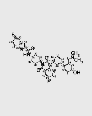 CN(C)Cc1cc(O)ccc1-c1cccc(-n2c(=O)n([C@H]3CC[C@@H](NC(=O)c4cn5cc(F)ccc5n4)CC3)c(=O)c3cc(F)cnc32)c1